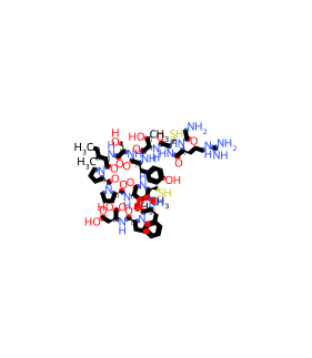 CC[C@H](C)[C@H](NC(=O)[C@@H]1CCCN1C(=O)[C@@H]1CCCN1C(=O)[C@@H](NC(=O)[C@H](CO)NC(=O)[C@H](Cc1ccc(O)cc1)NC(=O)[C@@H](NC(=O)[C@H](CS)NC(=O)[C@H](CCCNC(=N)N)NC(=O)CN)[C@@H](C)O)[C@@H](C)CC)C(=O)N[C@@H](CS)C(=O)N[C@@H](Cc1ccccc1)C(=O)N1CCC[C@H]1C(=O)N[C@@H](CC(=O)O)C(=O)O